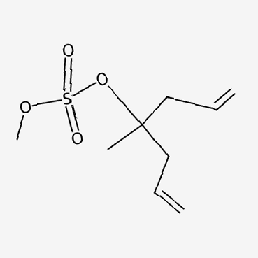 C=CCC(C)(CC=C)OS(=O)(=O)OC